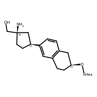 CCCCCCO[C@H]1CCc2cc([C@H]3CC[C@](N)(CO)C3)ccc2C1